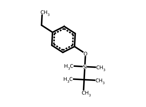 CCc1[c]cc(O[Si](C)(C)C(C)(C)C)cc1